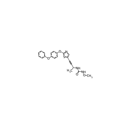 CONC(=O)NC(C)C#Cc1cnc(Oc2ccc(Oc3ccccc3)cc2)s1